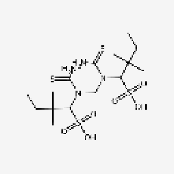 CCC(C)(C)C(N(CN(C(N)=S)C(C(C)(C)CC)S(=O)(=O)O)C(N)=S)S(=O)(=O)O